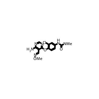 CNC(=O)Nc1ccc(Oc2ncnc(N)c2/C=N/OC)c(Cl)c1